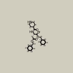 O=C(C[C@H](NC(=O)C1CCNCC1)C(=O)OCc1ccccc1)OCc1ccccc1